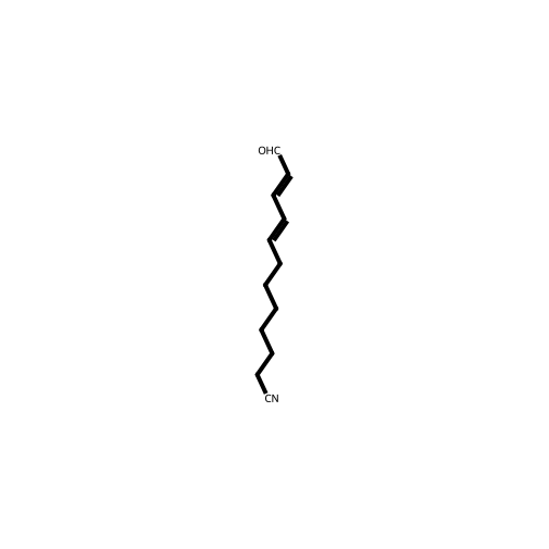 N#CCCCCCCC=CC=CC=O